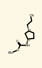 CC(C)(C)OC(=O)N[C@@H]1CC[C@H](CCC#N)C1